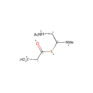 CNC(CNC(C)=O)SC(=O)CC(=O)O